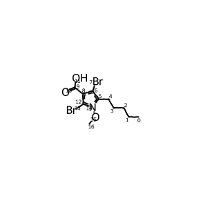 CCCCCc1c(Br)c(C(=O)O)c(Br)n1OC